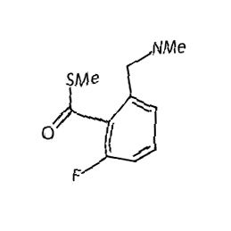 CNCc1cccc(F)c1C(=O)SC